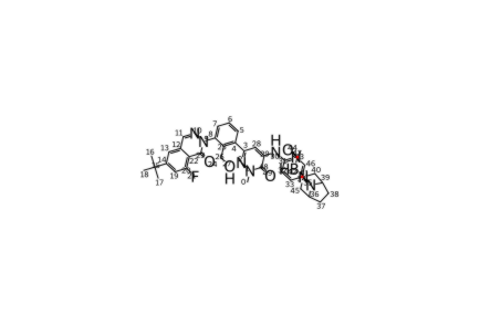 Cn1nc(-c2cccc(-n3ncc4cc(C(C)(C)C)cc(F)c4c3=O)c2CO)cc(Nc2ccc(N3C4CCC3CN(BC=O)C4)cn2)c1=O